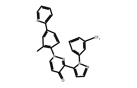 Cc1cc(-c2ccccn2)ccc1-n1ccc(=O)c(-c2ccnn2-c2cccc(C(F)(F)F)c2)n1